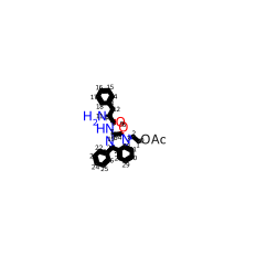 CC(=O)OCCN1C(=O)[C@@H](NC(=O)[C@@H](N)Cc2ccccc2)N=C(c2ccccc2)c2ccccc21